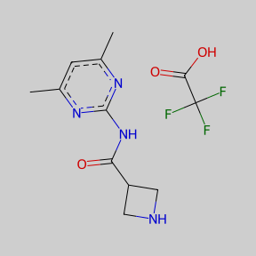 Cc1cc(C)nc(NC(=O)C2CNC2)n1.O=C(O)C(F)(F)F